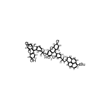 CC(C)(C)c1ccc2ccc3c(CC(C)(C)c4ccc(-c5c6ccc(=O)cc-6oc6cc(OC(C)(C)c7ccc(C(=O)O)c(-c8c9ccc(=O)cc-9oc9cc(O)ccc89)c7)ccc56)c(C(=O)O)c4)ccc4ccc1c2c43